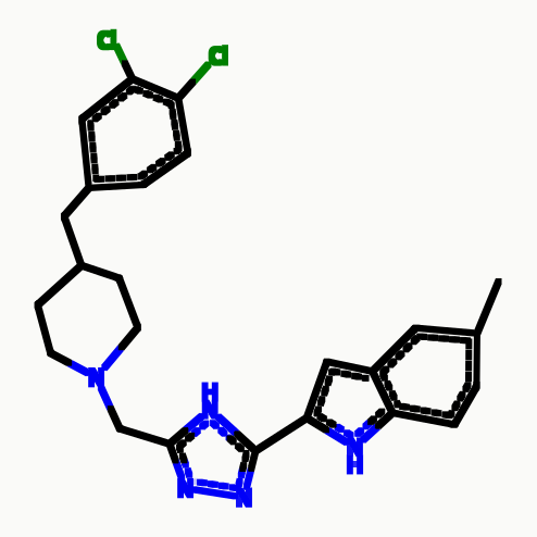 Cc1ccc2[nH]c(-c3nnc(CN4CCC(Cc5ccc(Cl)c(Cl)c5)CC4)[nH]3)cc2c1